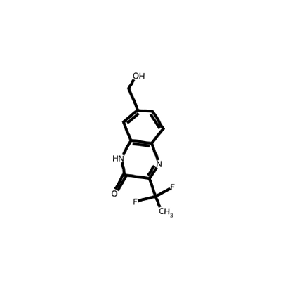 CC(F)(F)c1nc2ccc(CO)cc2[nH]c1=O